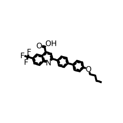 CCCCOc1ccc(-c2ccc(-c3cc(C(=O)O)c4cc(C(F)(F)F)ccc4n3)cc2)cc1